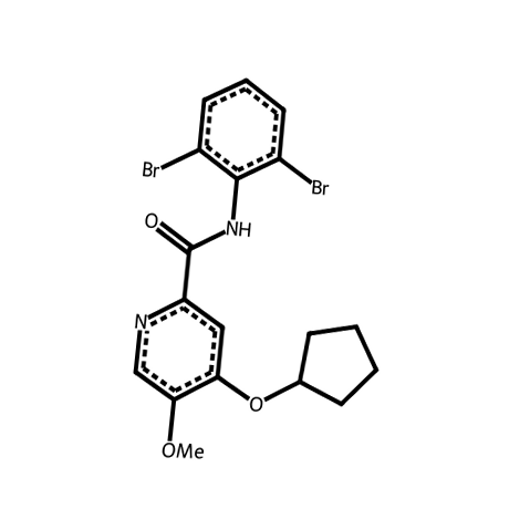 COc1cnc(C(=O)Nc2c(Br)cccc2Br)cc1OC1CCCC1